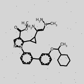 COC(=O)c1cnn(-c2cccc(-c3cccc(OC(C)C4CCCCC4)c3)c2)c1C1CC1/C(N)=C/N(C)N